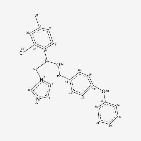 Cc1ccc(C(Cn2ccnc2)OCc2ccc(Oc3ccccc3)cc2)c(Cl)c1